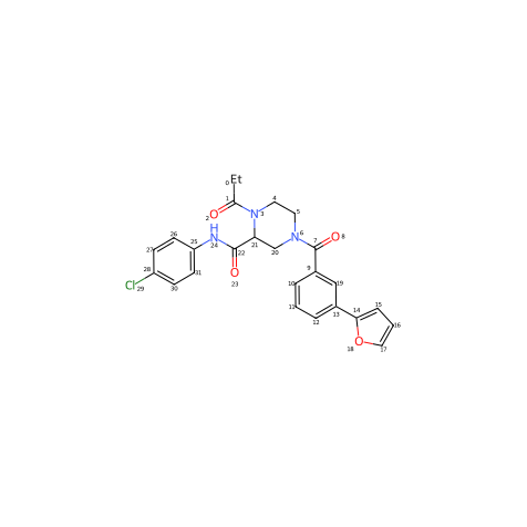 CCC(=O)N1CCN(C(=O)c2cccc(-c3ccco3)c2)CC1C(=O)Nc1ccc(Cl)cc1